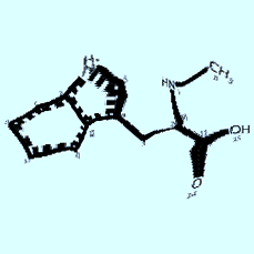 CN[C@H](Cc1c[nH]c2ccccc12)C(=O)O